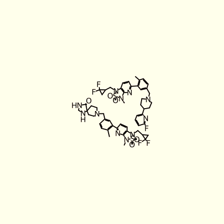 Cc1ccc(CN2CCC(c3cccc(F)n3)CC2)cc1-c1ccc2c(n1)N(C)S(=O)(=O)N2CC1CC1(F)F.Cc1ccc(CN2CCC3(CC2)NCNC3=O)cc1-c1ccc2c(n1)N(C)S(=O)(=O)N2CC1CC1(F)F